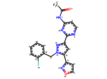 O=C(Nc1ccnc(-c2cc(-c3ccon3)n(Cc3ccccc3F)n2)n1)C(F)(F)F